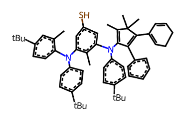 CC1=C(N(c2ccc(C(C)(C)C)cc2)c2cc(S)cc(N(c3ccc(C(C)(C)C)cc3)c3ccc(C(C)(C)C)cc3C)c2C)C(c2ccccc2)=C(C2=CCCC=C2)C1(C)C